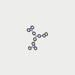 c1ccc(-n2c3ccccc3c3cc(-c4ccc(N(c5ccc(-c6ccc7ccccc7c6)cc5)c5ccc(-n6c7ccccc7c7ccccc76)cc5)cc4)ccc32)cc1